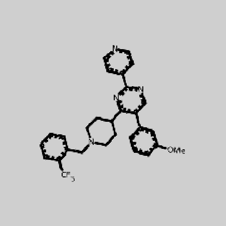 COc1cccc(-c2cnc(-c3ccncc3)nc2C2CCN(Cc3ccccc3C(F)(F)F)CC2)c1